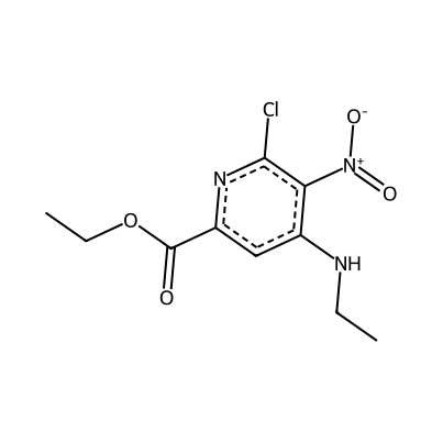 CCNc1cc(C(=O)OCC)nc(Cl)c1[N+](=O)[O-]